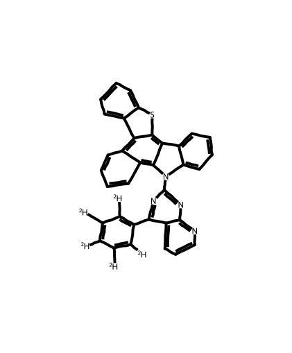 [2H]c1c([2H])c([2H])c(-c2nc(-n3c4ccccc4c4c5sc6ccccc6c5c5ccccc5c43)nc3ncccc23)c([2H])c1[2H]